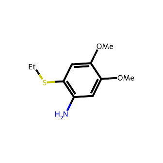 CCSc1cc(OC)c(OC)cc1N